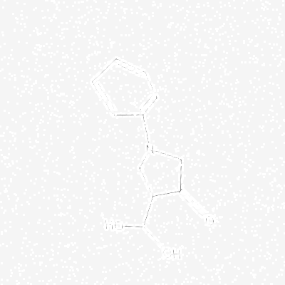 O=C1CN(c2ccccc2)CC1C(O)O